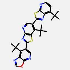 CC(C)(C)c1c(-c2nc3ncc(-c4nc5c(C(C)(C)C)ccnc5s4)c(C(C)(C)C)c3s2)cnc2ocnc12